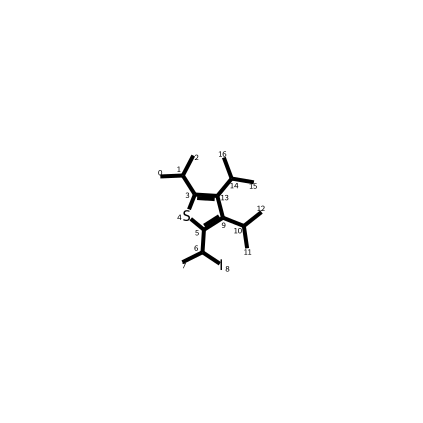 CC(C)c1sc(C(C)I)c(C(C)C)c1C(C)C